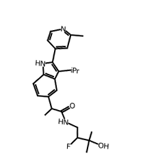 Cc1cc(-c2[nH]c3ccc(C(C)C(=O)NCC(F)C(C)(C)O)cc3c2C(C)C)ccn1